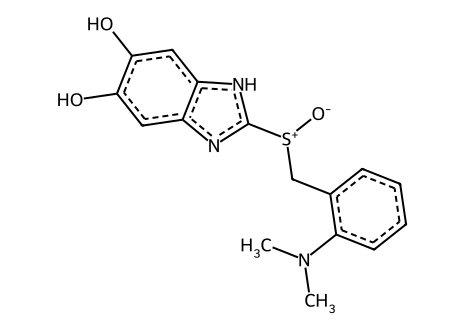 CN(C)c1ccccc1C[S+]([O-])c1nc2cc(O)c(O)cc2[nH]1